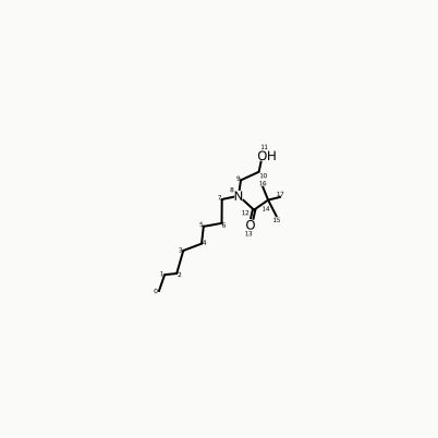 CCCCCCCCN(CCO)C(=O)C(C)(C)C